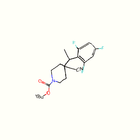 CC(c1c(F)cc(F)cc1F)C1(C#N)CCN(C(=O)OC(C)(C)C)CC1